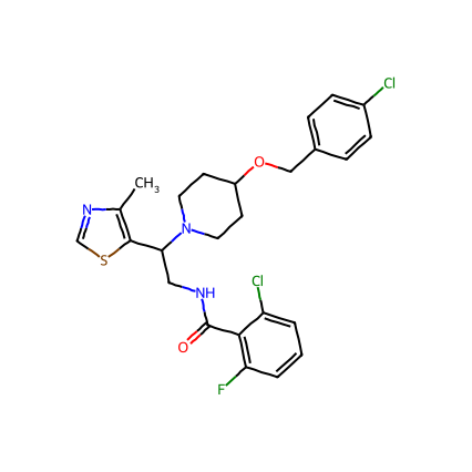 Cc1ncsc1C(CNC(=O)c1c(F)cccc1Cl)N1CCC(OCc2ccc(Cl)cc2)CC1